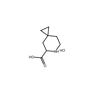 Cl.O=C(O)C1CC2(CCN1)CC2